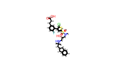 CN(C[C@H](O)CNC(C)(C)CC1Cc2ccccc2C1)S(=O)(=O)c1cc(-c2cc(CCC(=O)O)ccc2F)c(Cl)s1